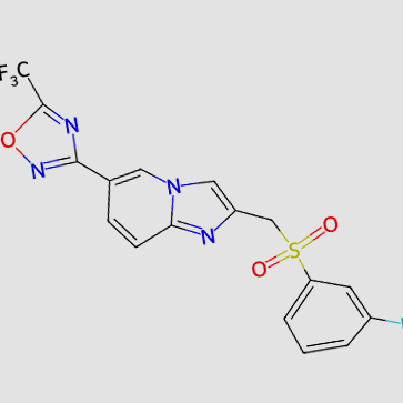 O=S(=O)(Cc1cn2cc(-c3noc(C(F)(F)F)n3)ccc2n1)c1cccc(F)c1